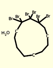 BrC1(Br)CCCCCCCCCC(Br)(Br)C1(Br)Br.O